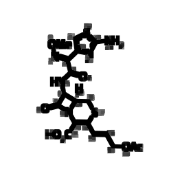 CON=C(C(=O)N[C@@H]1C(=O)N2C(C(=O)O)=C(/C=C/COC(C)=O)SC[C@H]12)c1csc(N)n1